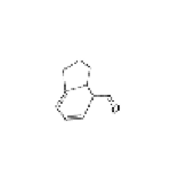 O=CC1C=CC=C2CCCC21